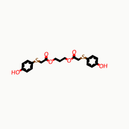 O=C(CSc1ccc(O)cc1)OCCCOC(=O)CSc1ccc(O)cc1